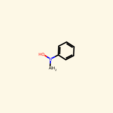 O[N]([AlH2])c1ccccc1